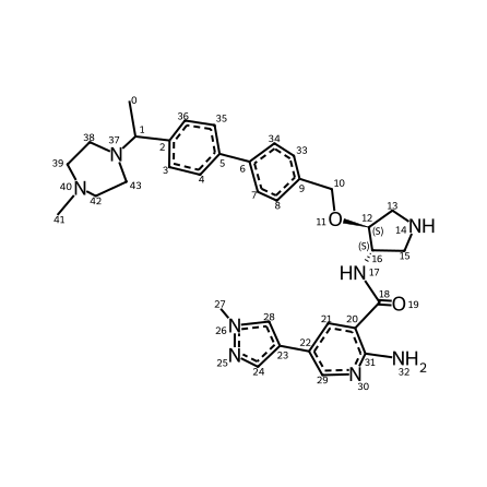 CC(c1ccc(-c2ccc(CO[C@H]3CNC[C@@H]3NC(=O)c3cc(-c4cnn(C)c4)cnc3N)cc2)cc1)N1CCN(C)CC1